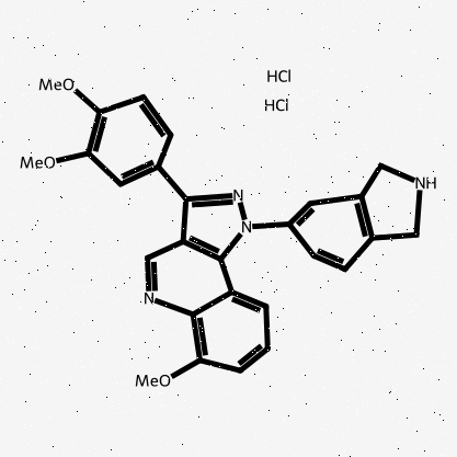 COc1ccc(-c2nn(-c3ccc4c(c3)CNC4)c3c2cnc2c(OC)cccc23)cc1OC.Cl.Cl